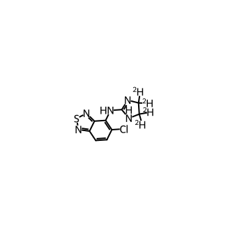 [2H]C1([2H])N=C(Nc2c(Cl)ccc3nsnc23)NC1([2H])[2H]